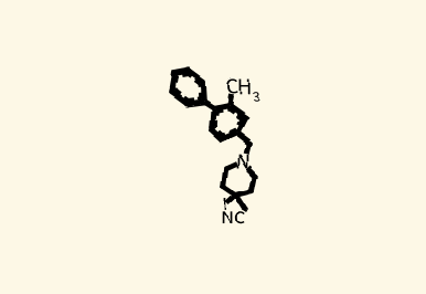 Cc1cc(CN2CCC(I)(CC#N)CC2)ccc1-c1ccccc1